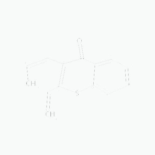 C=Cc1sc2ccccc2c(=O)c1/C=C\C